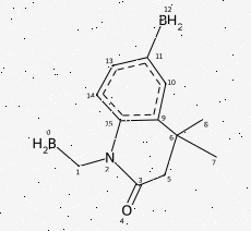 BCN1C(=O)CC(C)(C)c2cc(B)ccc21